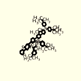 CC(C)(C)c1ccc(Nc2cc3c(cc2-c2ccc4c5cc6sc7ccccc7c6cc5n5c4c2Bc2sc4ccc(C(C)(C)C)cc4c2-5)C(C)(C)c2cc(N(c4ccc(C(C)(C)C)cc4)c4ccc(C(C)(C)C)cc4)ccc2-3)cc1